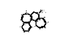 NN1CC2=C(C3=C(C=CS2)CCC=C3)C2=C1C=CC=CC2